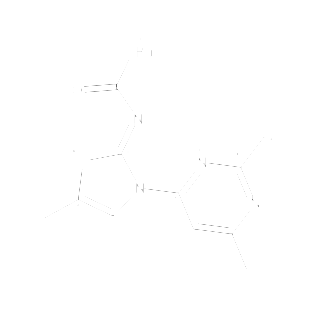 Cc1cc(-n2cc(C)s/c2=N\C(=O)C(C)(C)C)nc(C)n1